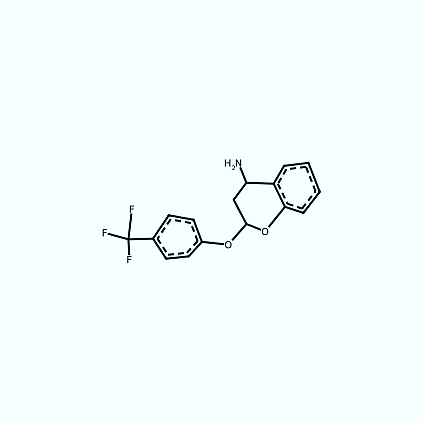 NC1CC(Oc2ccc(C(F)(F)F)cc2)Oc2ccccc21